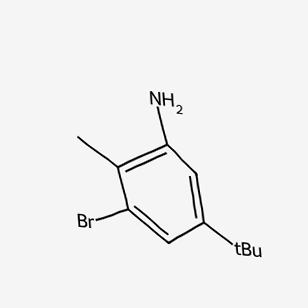 Cc1c(N)cc(C(C)(C)C)cc1Br